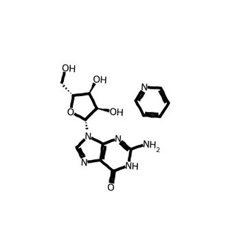 Nc1nc2c(ncn2[C@@H]2O[C@H](CO)[C@@H](O)[C@H]2O)c(=O)[nH]1.c1ccncc1